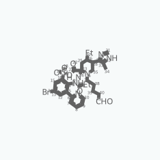 CCC(=O)Nc1c(-c2ccccn2)cc(Br)cc1S(=O)(=O)OC(=O)C1(N)CC(CC)C(c2nc[nH]c2C)CN1CCCCC=O